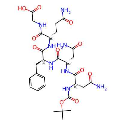 CC(C)(C)OC(=O)N[C@@H](CC(N)=O)C(=O)N[C@@H](CC(N)=O)C(=O)N[C@@H](Cc1ccccc1)C(=O)N[C@@H](CCC(N)=O)C(=O)NCC(=O)O